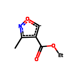 CCOC(=O)c1[c]onc1C